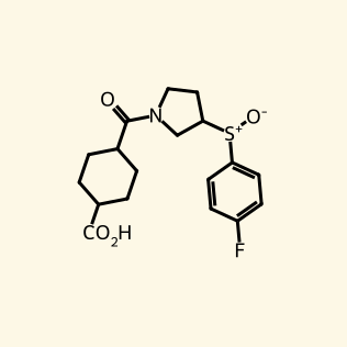 O=C(O)C1CCC(C(=O)N2CCC([S+]([O-])c3ccc(F)cc3)C2)CC1